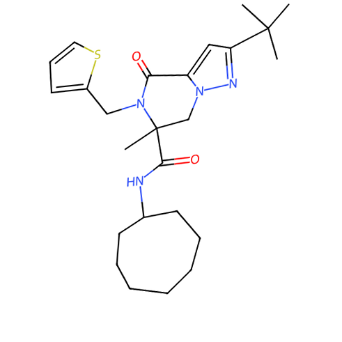 CC(C)(C)c1cc2n(n1)CC(C)(C(=O)NC1CCCCCCC1)N(Cc1cccs1)C2=O